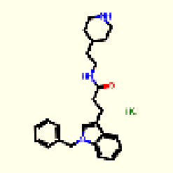 Cl.O=C(CCc1cn(Cc2ccccc2)c2ccccc12)NCCC1CCNCC1